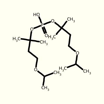 CC(C)OCCC(C)(C)OP(=O)(O)OC(C)(C)CCOC(C)C